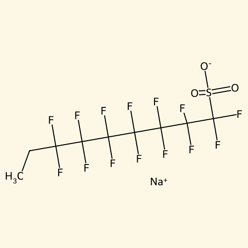 CCC(F)(F)C(F)(F)C(F)(F)C(F)(F)C(F)(F)C(F)(F)C(F)(F)S(=O)(=O)[O-].[Na+]